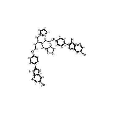 Brc1cnc2[nH]c(-c3ccc(OCCN(Cc4ccco4)N(CCOc4ccc(-c5nc6cc(Br)cnc6[nH]5)cc4)CC4CCCO4)cc3)nc2c1